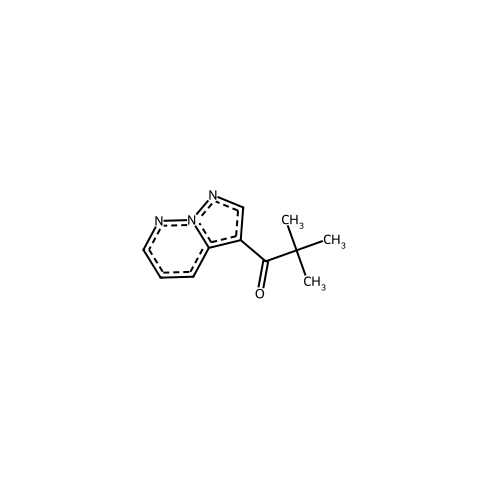 CC(C)(C)C(=O)c1cnn2ncccc12